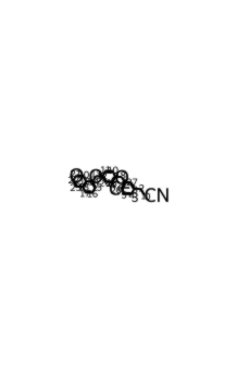 N#CCCc1cccc(Oc2ccc(Oc3cccc4c3COC=C4)cc2C(F)(F)F)c1